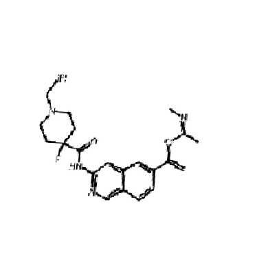 C=C(O/C(C)=N\C)c1ccc2cnc(NC(=O)C3(F)CCN(CC(C)C)CC3)cc2c1